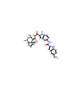 C[C@H]1C[C@H]2SC(C(=O)c3cc4cc(NC(=O)c5cc6cc([N+](=O)[O-])ccc6[nH]5)ccc4[nH]3)C=C2C23C(=O)C2=CN=C13